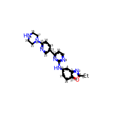 CCc1nc2cc(Nc3nccc(-c4ccc(N5CCNCC5)nc4)n3)ccc2o1